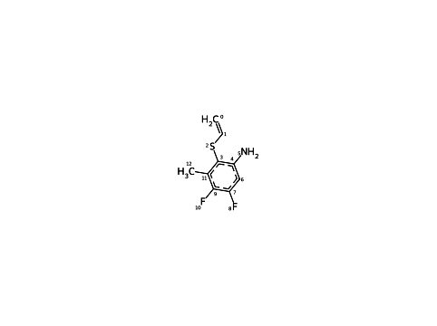 C=CSc1c(N)cc(F)c(F)c1C